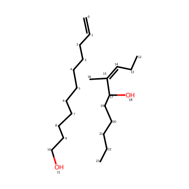 C=CCCCCCCCCCO.CCC=C(C)C(O)CCCCC